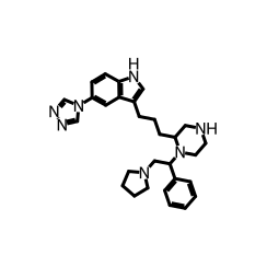 c1ccc(C(CN2CCCC2)N2CCNCC2CCCc2c[nH]c3ccc(-n4cnnc4)cc23)cc1